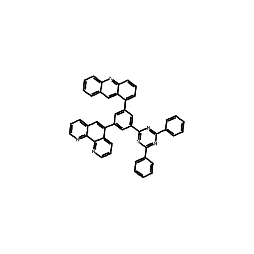 c1ccc(-c2nc(-c3ccccc3)nc(-c3cc(-c4cccc5nc6ccccc6cc45)cc(-c4cc5cccnc5c5ncccc45)c3)n2)cc1